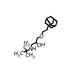 CC(C)(C)NCC(O)COCCC12CC3CC(CC(C3)C1)C2